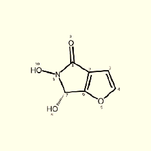 O=C1c2ccoc2[C@H](O)N1O